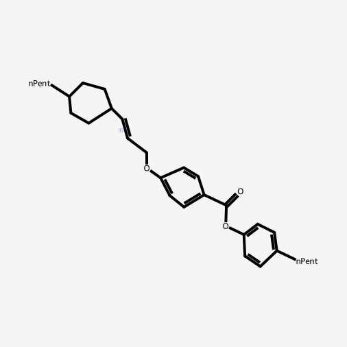 CCCCCc1ccc(OC(=O)c2ccc(OC/C=C/C3CCC(CCCCC)CC3)cc2)cc1